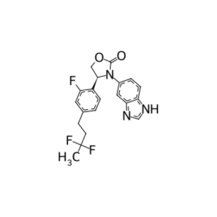 CC(F)(F)CCc1ccc([C@H]2COC(=O)N2c2ccc3[nH]cnc3c2)c(F)c1